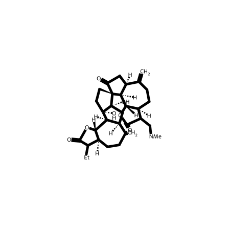 C=C1CC[C@H]2C(CC)C(=O)O[C@@H]2[C@@H]2[C@H]1C[C@@]1(O)[C@]2(O)CC[C@]12C(=O)C[C@H]1C(=C)CC[C@H]3C(CNC)C(=O)O[C@@H]3[C@H]12